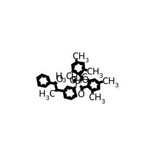 Cc1cc(C)c(C(=O)P(=O)(C(=O)c2c(C)cc(C)cc2C)c2cccc(C(C)C(=O)c3ccccc3)c2)c(C)c1